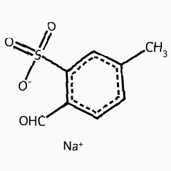 Cc1ccc(C=O)c(S(=O)(=O)[O-])c1.[Na+]